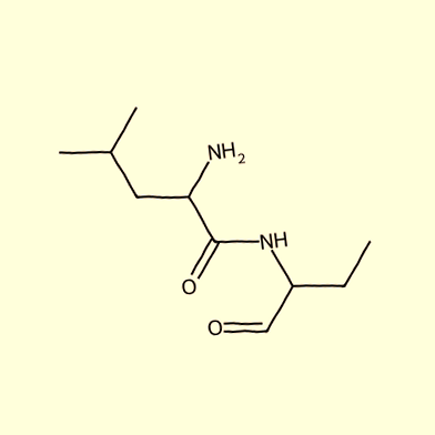 CCC(C=O)NC(=O)C(N)CC(C)C